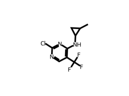 CC1CC1Nc1nc(Cl)ncc1C(F)(F)F